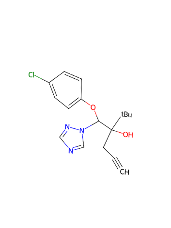 C#CCC(O)(C(Oc1ccc(Cl)cc1)n1cncn1)C(C)(C)C